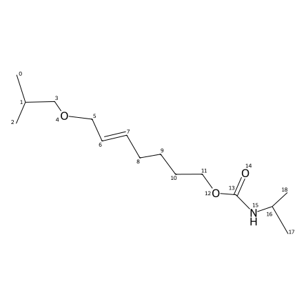 CC(C)COCC=CCCCCOC(=O)NC(C)C